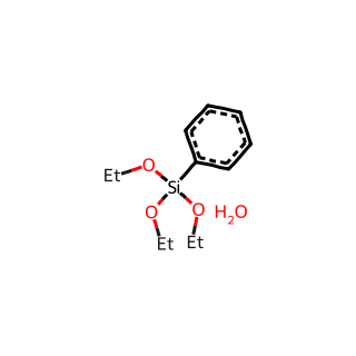 CCO[Si](OCC)(OCC)c1ccccc1.O